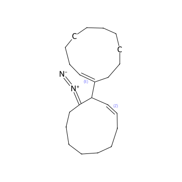 [N-]=[N+]=C1CCCCCCC/C=C\C1/C1=C/CCCCCCCCC1